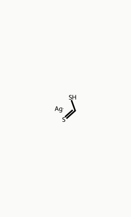 S=CS.[Ag]